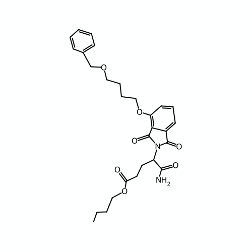 CCCCOC(=O)CCC(C(N)=O)N1C(=O)c2cccc(OCCCCOCc3ccccc3)c2C1=O